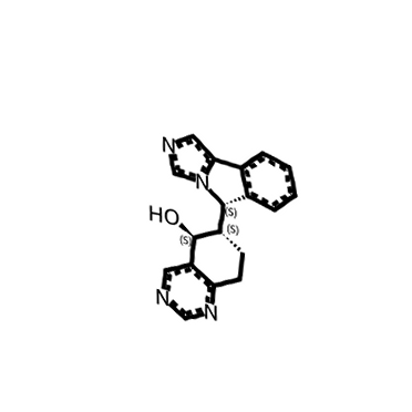 O[C@@H]1c2cncnc2CC[C@H]1[C@H]1c2ccccc2-c2cncn21